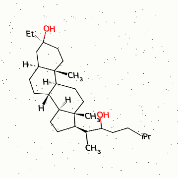 CC[C@]1(O)CC[C@@]2(C)[C@@H](CC[C@@H]3[C@@H]2CC[C@]2(C)[C@@H](C(C)C(O)CCC(C)C)CC[C@@H]32)C1